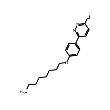 CCCCCCCCOc1ccc(-c2ccc(Cl)nn2)cc1